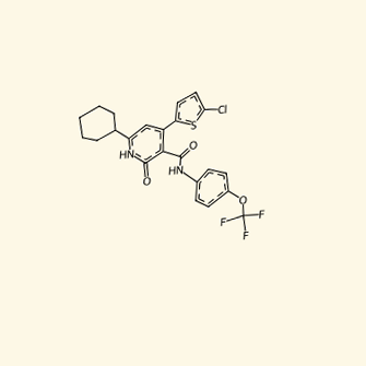 O=C(Nc1ccc(OC(F)(F)F)cc1)c1c(-c2ccc(Cl)s2)cc(C2CCCCC2)[nH]c1=O